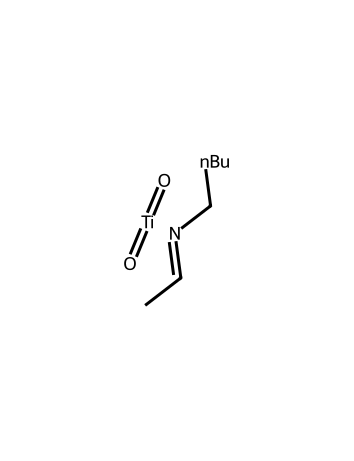 CC=NCCCCC.[O]=[Ti]=[O]